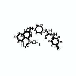 CN(C)c1nc(N[C@H]2CC[C@@H](NC(=S)Nc3ccc(Br)cc3)CC2)nc2ccccc12